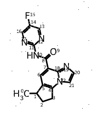 CC1CCc2c1cc(C(=O)Nc1ncc(F)cn1)c1nccn21